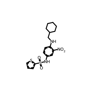 O=[N+]([O-])c1cc(NS(=O)(=O)c2cccs2)ccc1NCC1CCCCC1